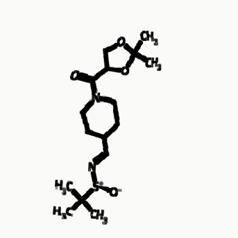 CC1(C)OCC(C(=O)N2CCC(C=N[S@@+]([O-])C(C)(C)C)CC2)O1